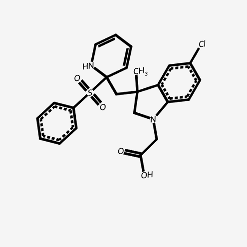 CC1(CC2(S(=O)(=O)c3ccccc3)C=CC=CN2)CN(CC(=O)O)c2ccc(Cl)cc21